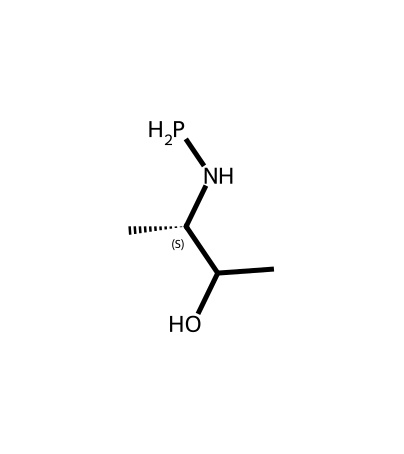 CC(O)[C@H](C)NP